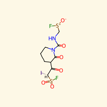 O=C(C1CCCN(C(=O)NC[S+]([O-])F)C1=O)[C@@H](I)S(=O)(=O)F